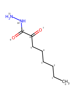 CCCCCCC(=O)C(=O)NN